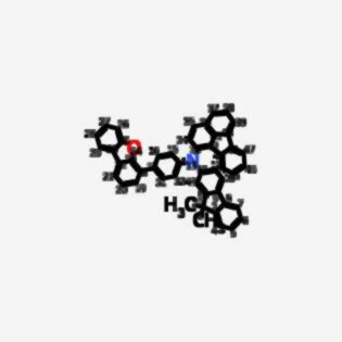 CC1(C)c2ccccc2-c2ccc(N(c3ccc(-c4cccc5c4oc4ccccc45)cc3)c3ccc4cccc5c4c3-c3ccccc3-5)cc21